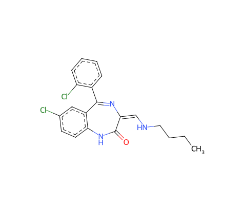 CCCCNC=C1N=C(c2ccccc2Cl)c2cc(Cl)ccc2NC1=O